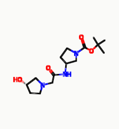 CC(C)(C)OC(=O)N1CCC(NC(=O)CN2CC[C@H](O)C2)C1